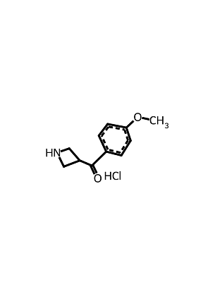 COc1ccc(C(=O)C2CNC2)cc1.Cl